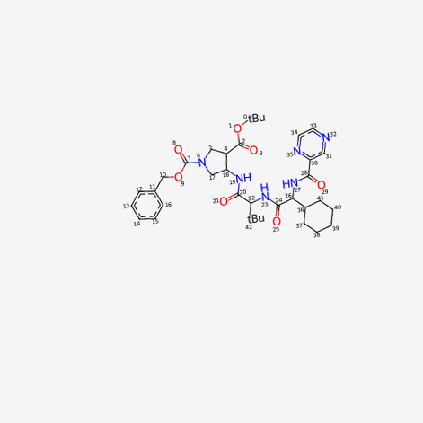 CC(C)(C)OC(=O)C1CN(C(=O)OCc2ccccc2)CC1NC(=O)C(NC(=O)C(NC(=O)c1cnccn1)C1CCCCC1)C(C)(C)C